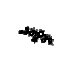 Cn1nccc1-c1cc(NC(=O)c2cccs2)ccc1OCC1CCN(C(=O)OC(C)(C)C)CC1